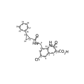 O=C(O)c1cc2cc(Cl)cc(CNC(=O)C3CC3c3ccccc3)c2[nH]c1=O